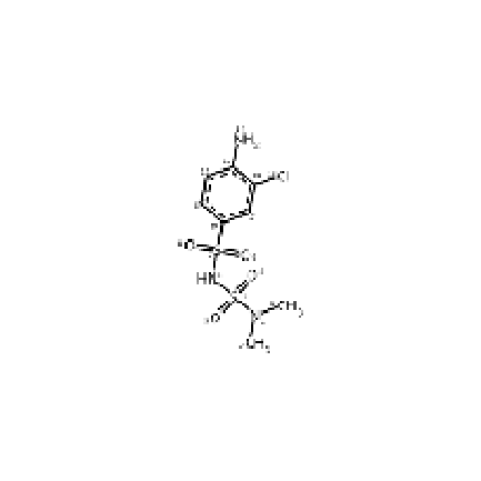 CN(C)S(=O)(=O)NS(=O)(=O)c1ccc(N)c(Cl)c1